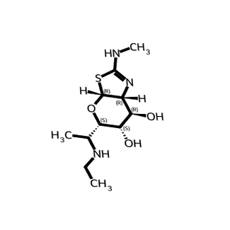 CCNC(C)[C@@H]1O[C@@H]2SC(NC)=N[C@@H]2[C@@H](O)[C@@H]1O